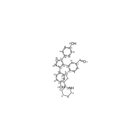 O=Cc1ccc(OCCC2CCCCN2)c(-c2c(-c3ccc(O)cc3)noc2-c2ccc(O)cc2)c1